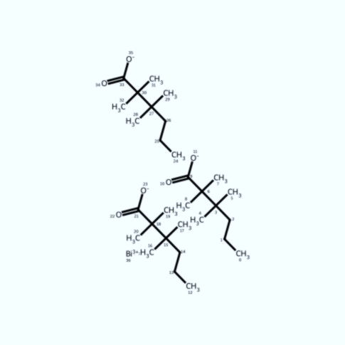 CCCC(C)(C)C(C)(C)C(=O)[O-].CCCC(C)(C)C(C)(C)C(=O)[O-].CCCC(C)(C)C(C)(C)C(=O)[O-].[Bi+3]